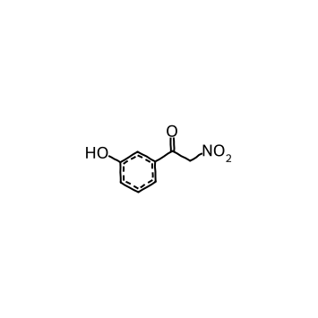 O=C(C[N+](=O)[O-])c1cccc(O)c1